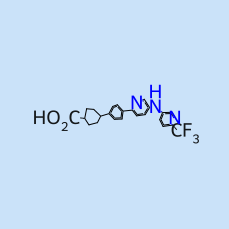 O=C(O)C1CCC(c2ccc(-c3ccc(Nc4ccc(C(F)(F)F)nc4)cn3)cc2)CC1